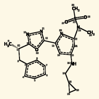 C[C@@H](Cc1ccccc1)c1nnc(-c2cc(NCC3CC3)cc(N(C)S(C)(=O)=O)n2)o1